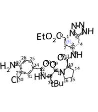 CCOC(=O)/C=C/[C@H](Cc1nnn[nH]1)NC(=O)[C@H]1CCCN1C(=O)[C@H](NC(=O)c1ccc(N)c(Cl)c1)C(C)(C)C